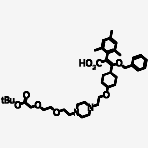 Cc1cc(C)c(/C(C(=O)O)=C(\OCc2ccccc2)C2CCC(OCCN3CCN(CCOCCOCC(=O)OC(C)(C)C)CC3)CC2)c(C)c1